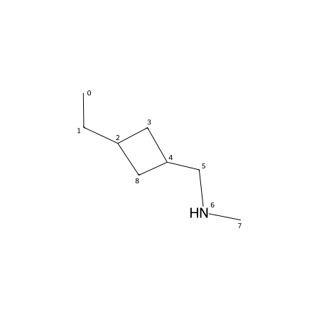 CCC1CC(CNC)C1